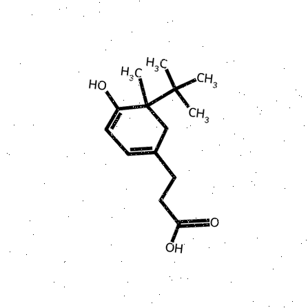 CC(C)(C)C1(C)CC(CCC(=O)O)=CC=C1O